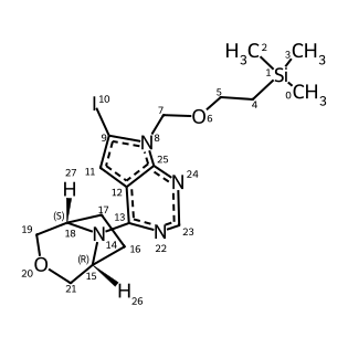 C[Si](C)(C)CCOCn1c(I)cc2c(N3[C@@H]4CC[C@H]3COC4)ncnc21